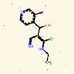 CCN/C(Br)=C(\C=N)C(O)c1ccncc1I